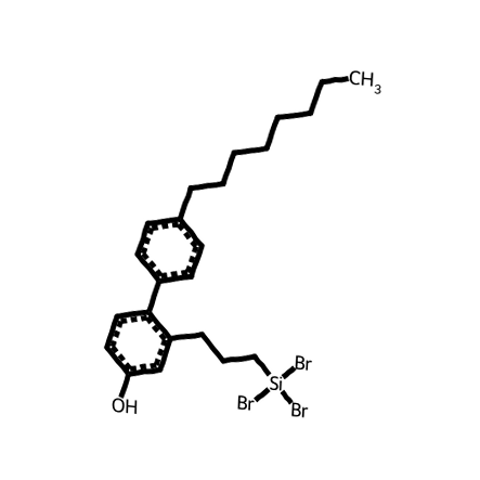 CCCCCCCCc1ccc(-c2ccc(O)cc2CCC[Si](Br)(Br)Br)cc1